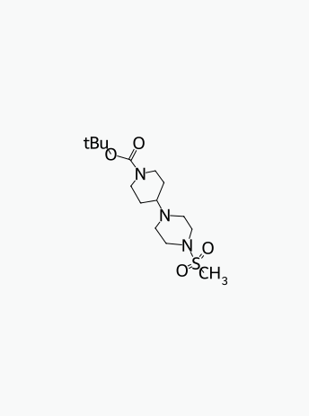 CC(C)(C)OC(=O)N1CCC(N2CCN(S(C)(=O)=O)CC2)CC1